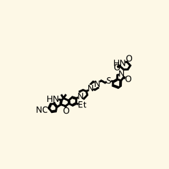 CCc1cc2c(cc1N1CCC(N3CCN(CCSc4cccc5c4CN(C4CCC(=O)NC4=O)C5=O)CC3)CC1)C(C)(C)c1[nH]c3cc(C#N)ccc3c1C2=O